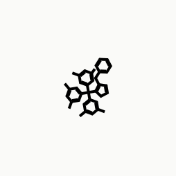 Cc1cc(C)cc(C(C2=C(Cc3ccccc3)C=CC2)(c2cc(C)cc(C)c2)c2cc(C)cc(C)c2)c1